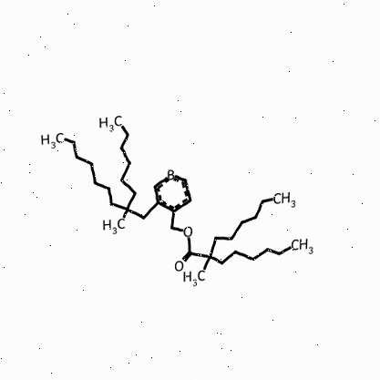 CCCCCCCC(C)(CCCCCC)Cc1cbccc1COC(=O)C(C)(CCCCCC)CCCCCC